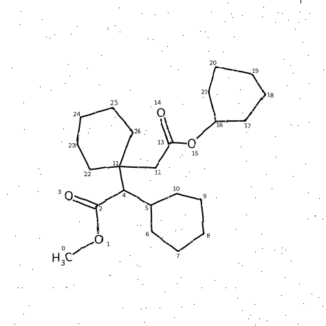 COC(=O)C(C1CCCCC1)C1(CC(=O)OC2CCCCC2)CCCCC1